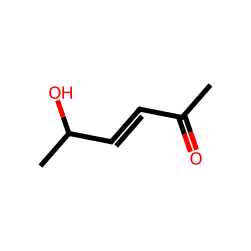 CC(=O)C=CC(C)O